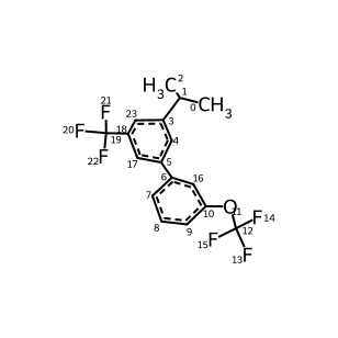 CC(C)c1cc(-c2cccc(OC(F)(F)F)c2)cc(C(F)(F)F)c1